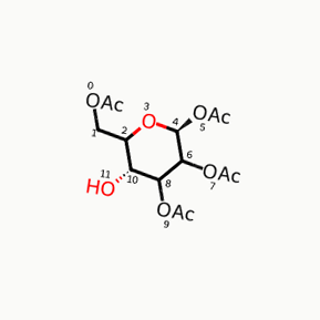 CC(=O)OCC1O[C@@H](OC(C)=O)C(OC(C)=O)C(OC(C)=O)[C@@H]1O